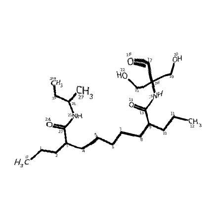 CCCC(CCCCCC(CCC)C(=O)NC(C=O)(CO)CO)C(=O)NC(C)CC